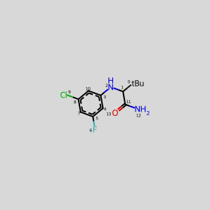 CC(C)(C)C(Nc1cc(F)cc(Cl)c1)C(N)=O